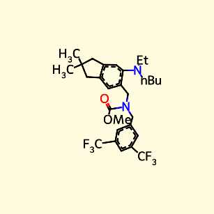 CCCCN(CC)c1cc2c(cc1CN(Cc1cc(C(F)(F)F)cc(C(F)(F)F)c1)C(=O)OC)CC(C)(C)C2